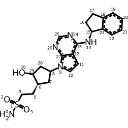 NS(=O)(=O)CC[C@@H]1CC(n2ccc3c(N[C@H]4CCc5ccccc54)ncnc32)CC1O